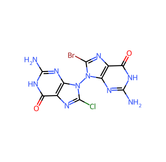 Nc1nc2c(nc(Cl)n2-n2c(Br)nc3c(=O)[nH]c(N)nc32)c(=O)[nH]1